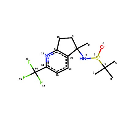 CC1(N[S+]([O-])C(C)(C)C)CCc2nc(C(F)(F)F)ccc21